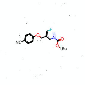 CC(C)(C)OC(=O)NCC(=CF)COc1ccc(C#N)cc1